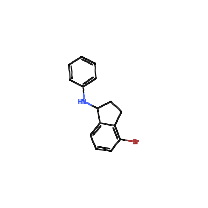 Brc1cccc2c1CCC2Nc1ccccc1